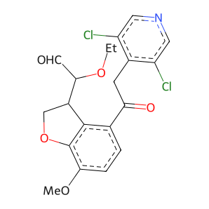 CCOC(C=O)C1COc2c(OC)ccc(C(=O)Cc3c(Cl)cncc3Cl)c21